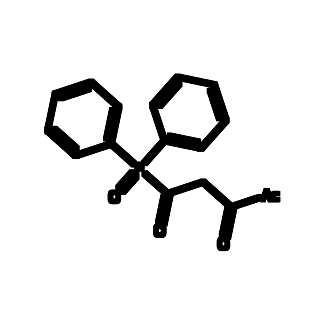 CC(=O)C(=O)CC(=O)P(=O)(c1ccccc1)c1ccccc1